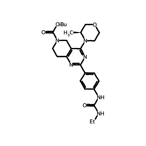 CCNC(=O)Nc1ccc(-c2nc3c(c(N4CCOC[C@@H]4C)n2)CN(C(=O)OCC(C)C)CC3)cc1